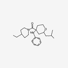 CCC1CCN(C(=O)C2(Nc3ccccc3)CCOC(CC(C)C)C2)CC1